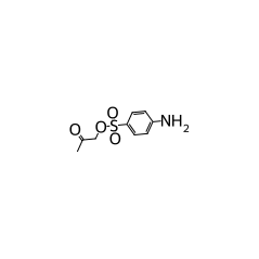 CC(=O)COS(=O)(=O)c1ccc(N)cc1